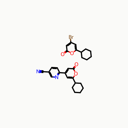 N#Cc1ccc(-c2cc(C3CCCCC3)oc(=O)c2)nc1.O=c1cc(Br)cc(C2CCCCC2)o1